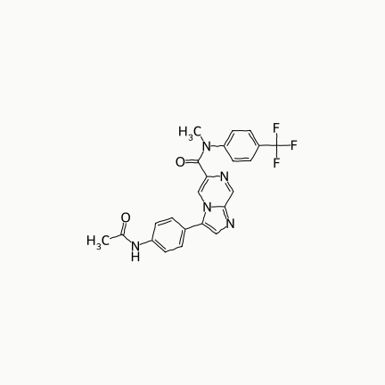 CC(=O)Nc1ccc(-c2cnc3cnc(C(=O)N(C)c4ccc(C(F)(F)F)cc4)cn23)cc1